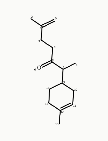 C=C(C)CCC(=O)C(C)C1CC=C(C)CC1